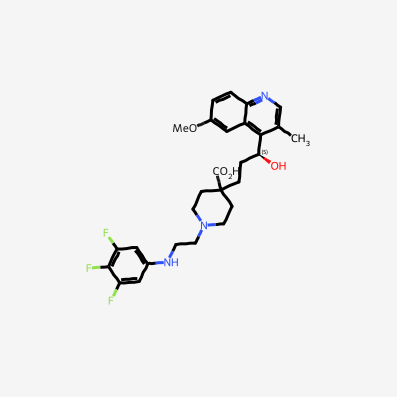 COc1ccc2ncc(C)c([C@@H](O)CCC3(C(=O)O)CCN(CCNc4cc(F)c(F)c(F)c4)CC3)c2c1